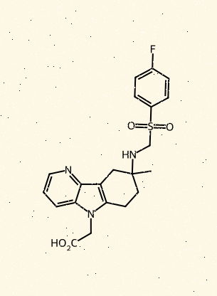 CC1(NCS(=O)(=O)c2ccc(F)cc2)CCc2c(c3ncccc3n2CC(=O)O)C1